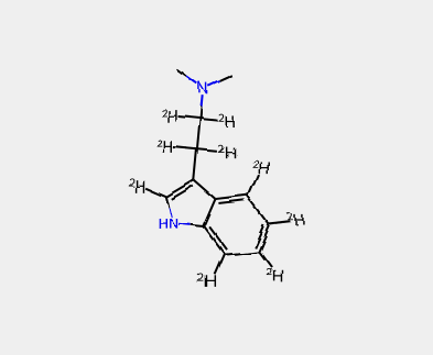 [2H]c1[nH]c2c([2H])c([2H])c([2H])c([2H])c2c1C([2H])([2H])C([2H])([2H])N(C)C